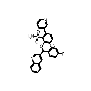 N#Cc1ccc(-c2cccnc2)c(S(N)(=O)=O)c1OC(c1ccc(F)cc1)c1cnc2ccccc2c1